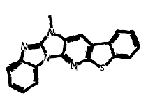 Cn1c2cc3c(nc2n2c4ccccc4nc12)sc1ccccc13